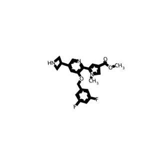 COC(=O)c1cc(-c2ncc(C3CNC3)cc2OCc2cc(F)cc(F)c2)n(C)c1